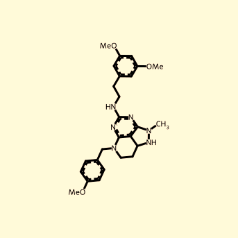 COc1ccc(CN2CCC3NN(C)c4nc(NCCc5cc(OC)cc(OC)c5)nc2c43)cc1